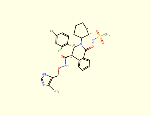 Cc1nc[nH]c1CONC(=O)[C@@H]1c2ccccc2C(=O)N(C2CCCC[C@@H]2NS(C)(=O)=O)[C@H]1c1ccc(Cl)cc1Cl